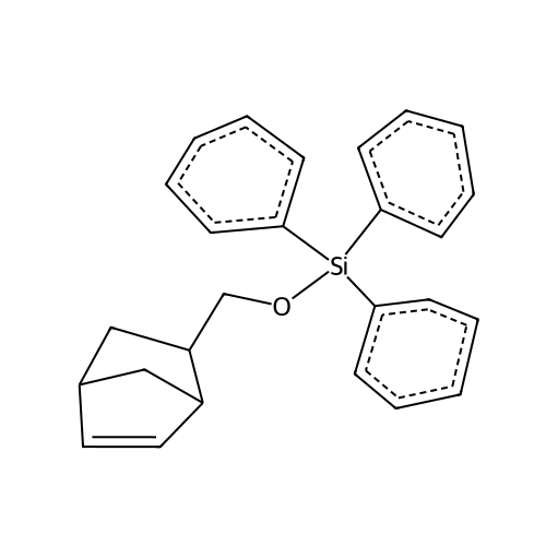 C1=CC2CC1CC2CO[Si](c1ccccc1)(c1ccccc1)c1ccccc1